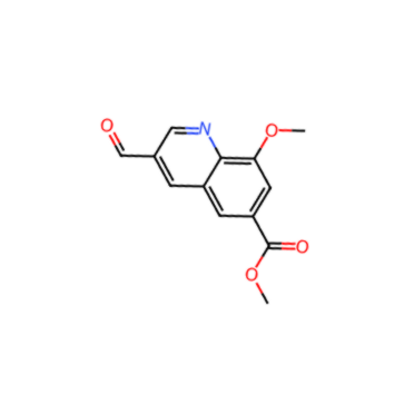 COC(=O)c1cc(OC)c2ncc(C=O)cc2c1